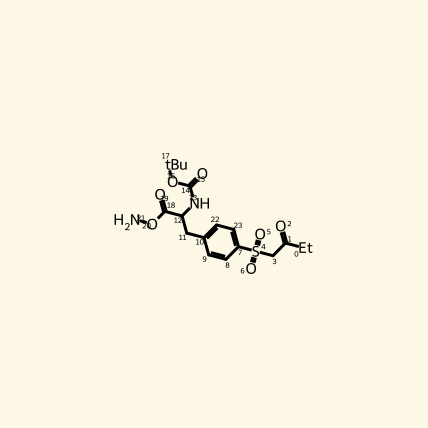 CCC(=O)CS(=O)(=O)c1ccc(CC(NC(=O)OC(C)(C)C)C(=O)ON)cc1